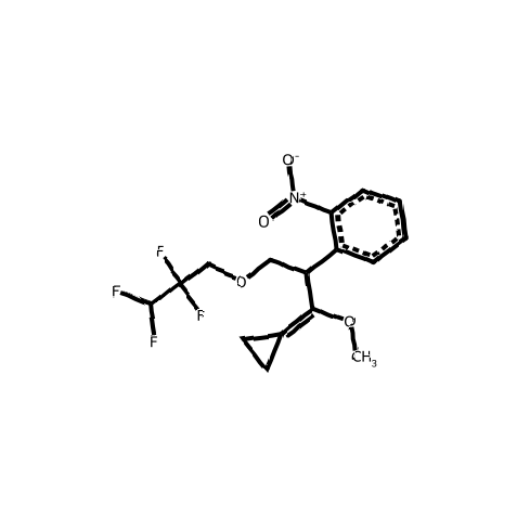 COC(=C1CC1)C(COCC(F)(F)C(F)F)c1ccccc1[N+](=O)[O-]